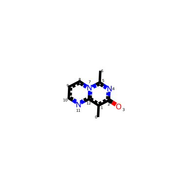 Cc1c(=O)nc(C)n2cccnc12